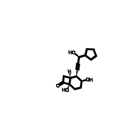 O=C1C[C@H]2[C@H](C#C[C@@H](O)C3CCCC3)[C@@H](O)CC[C@@]12O